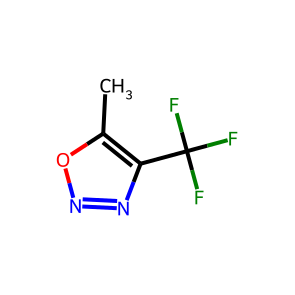 Cc1onnc1C(F)(F)F